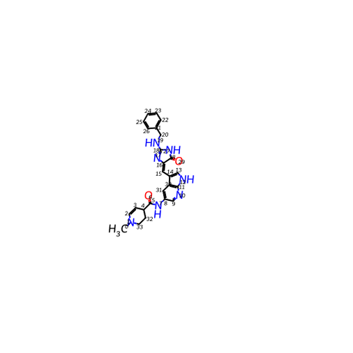 CN1C=CC(C(=O)Nc2cnc3[nH]cc(C=C4N=C(NCc5ccccc5)NC4=O)c3c2)CC1